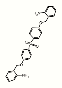 Nc1ccccc1COc1ccc(S(=O)(=O)c2ccc(OCc3ccccc3N)cc2)cc1